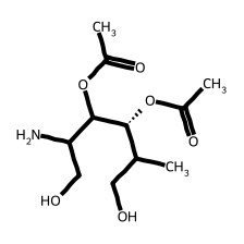 CC(=O)OC(C(N)CO)[C@H](OC(C)=O)C(C)CO